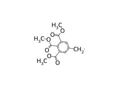 [CH2]c1cc(C(=O)OC)c(C(=O)OC)c(C(=O)OC)c1